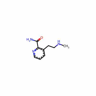 CNCCc1cccnc1C(N)=O